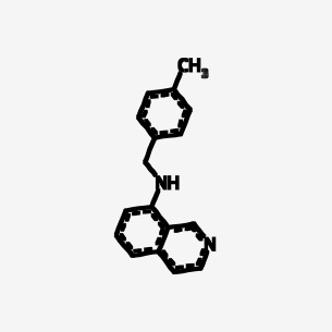 Cc1ccc(CNc2cccc3ccncc23)cc1